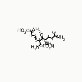 NC(=O)CC[C@H](N)C(=O)C(SSC[C@H](N)C(=O)O)[C@H](N)C(=O)O